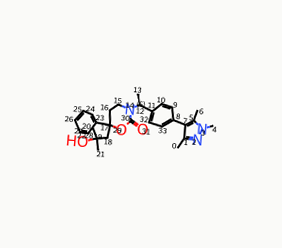 Cc1nn(C)c(C)c1-c1ccc([C@H](C)N2CCC(CC(C)(C)O)(c3ccccc3)OC2=O)cc1